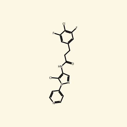 O=C(CCc1cc(F)c(Cl)c(F)c1)Nc1cnn(-c2ccncc2)c1Cl